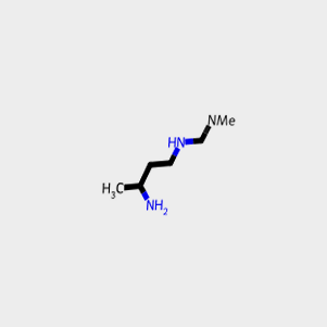 [CH2]NCNCCC(C)N